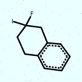 FC1(I)CCc2ccccc2C1